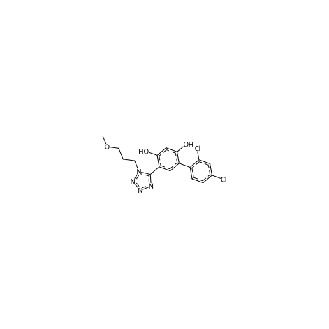 COCCCn1nnnc1-c1cc(-c2ccc(Cl)cc2Cl)c(O)cc1O